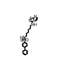 O=S(=O)(NCCCCCCNc1nsc2nccn12)c1ccc(-c2ccccc2)cc1